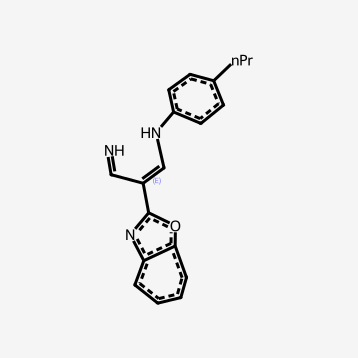 CCCc1ccc(N/C=C(\C=N)c2nc3ccccc3o2)cc1